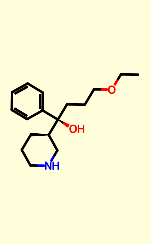 CCOCCC[C@@](O)(c1ccccc1)[C@@H]1CCCNC1